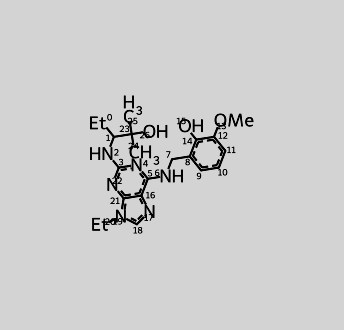 CCC(Nc1nc(NCc2cccc(OC)c2O)c2ncn(CC)c2n1)C(C)(C)O